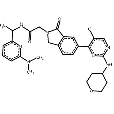 CC(NC(=O)CN1Cc2ccc(-c3nc(NC4CCOCC4)ncc3Cl)cc2C1=O)c1cccc(N(C)C)n1